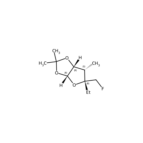 CC[C@@]1(CF)O[C@@H]2OC(C)(C)O[C@@H]2[C@@H]1C